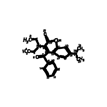 CCN(CC)c1c(C(=O)c2ccccc2)c2ccc(N(C)C)cc2oc1=O